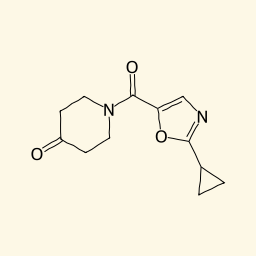 O=C1CCN(C(=O)c2cnc(C3CC3)o2)CC1